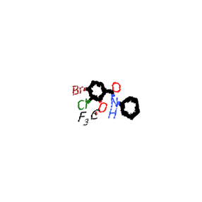 O=C(Nc1ccccc1)c1ccc(Br)c(Cl)c1OC(F)(F)F